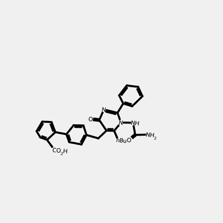 CCCCc1c(Cc2ccc(-c3ccccc3C(=O)O)cc2)c(=O)nc(-c2ccccc2)n1NC(N)=O